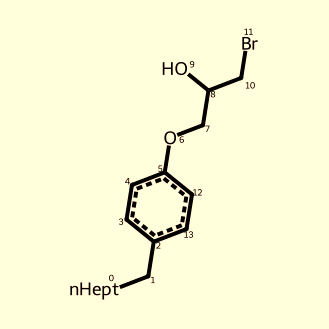 CCCCCCCCc1ccc(OCC(O)CBr)cc1